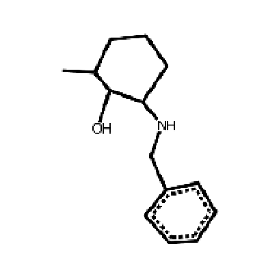 CC1CCCC(NCc2ccccc2)C1O